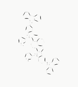 C1=C(n2c3ccccc3c3ccccc32)CCc2c1c1cc3c4c(c1n2-c1cccnc1)CCc1c-4c(cc2c4cc(-n5c6ccccc6c6ccccc65)ccc4n(-c4cccnc4)c12)CC3